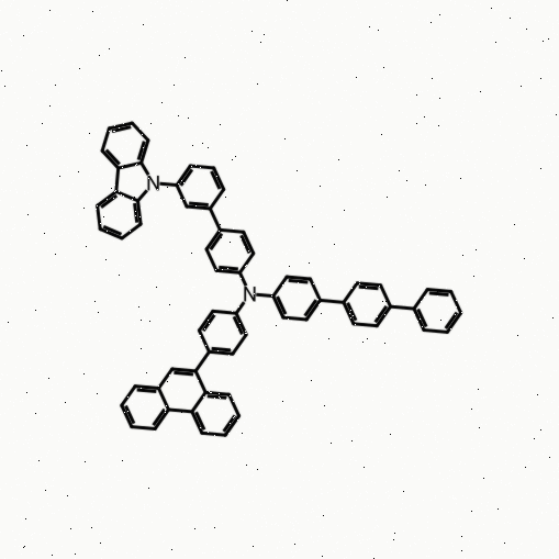 c1ccc(-c2ccc(-c3ccc(N(c4ccc(-c5cccc(-n6c7ccccc7c7ccccc76)c5)cc4)c4ccc(-c5cc6ccccc6c6ccccc56)cc4)cc3)cc2)cc1